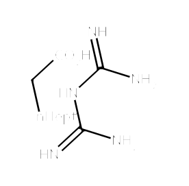 CCCCCCCCC(=O)O.N=C(N)NC(=N)N